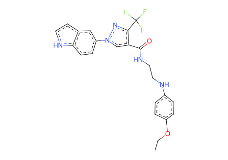 CCOc1ccc(NCCNC(=O)c2cn(-c3ccc4[nH]ccc4c3)nc2C(F)(F)F)cc1